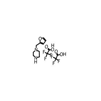 O=C(O)C(F)(F)F.O=C(O)C(F)(F)F.c1coc(CN2CCNCC2)c1